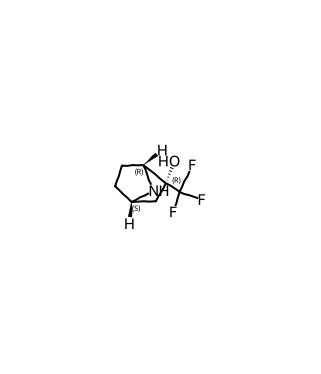 O[C@]1(C(F)(F)F)C[C@@H]2CC[C@H]1N2